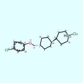 Clc1ccc(OC[C@H]2CC[C@H](C3CC[SiH](Cl)CC3)CC2)cc1